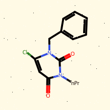 CCCn1c(=O)cc(Cl)n(Cc2ccccc2)c1=O